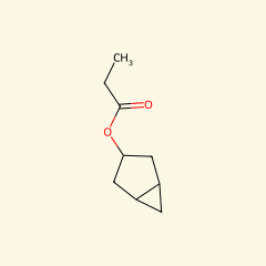 CCC(=O)OC1CC2CC2C1